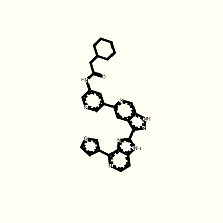 O=C(CC1CCCCC1)Nc1cncc(-c2cc3c(-c4nc5c(-c6ccoc6)nccc5[nH]4)n[nH]c3cn2)c1